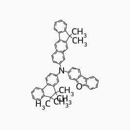 CC1(C)c2ccccc2-c2cc3ccc(N(c4ccc5c(c4)C(C)(C)C(C)(C)c4ccccc4-5)c4ccc5c(c4)oc4ccccc45)cc3cc21